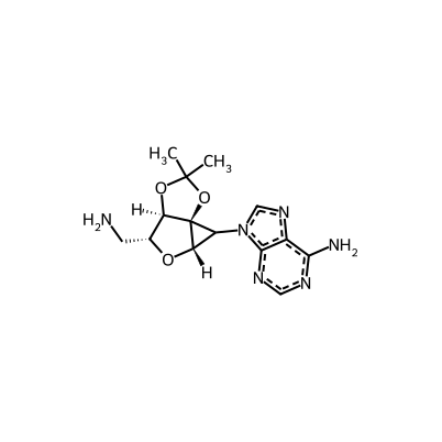 CC1(C)O[C@@H]2[C@@H](CN)O[C@H]3C(n4cnc5c(N)ncnc54)[C@@]23O1